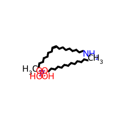 CCCCCCCC/C=C\CCCCCCCCN.CCCCCCCCCCCCCCOP(=O)(O)O